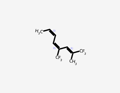 C\C=C/C=C(\C=C(/C)C(F)(F)F)C(F)(F)F